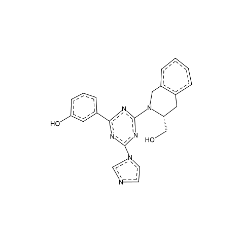 OC[C@H]1Cc2ccccc2CN1c1nc(-c2cccc(O)c2)nc(-n2ccnc2)n1